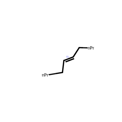 [CH2]CCC/C=C/CCC[CH2]